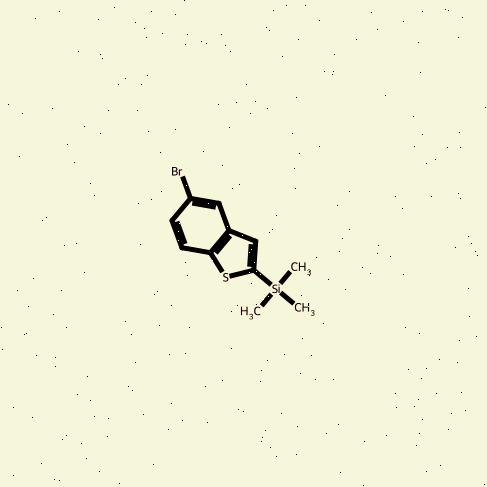 C[Si](C)(C)c1cc2cc(Br)ccc2s1